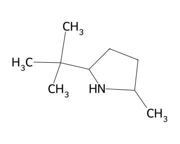 CC1CCC(C(C)(C)C)N1